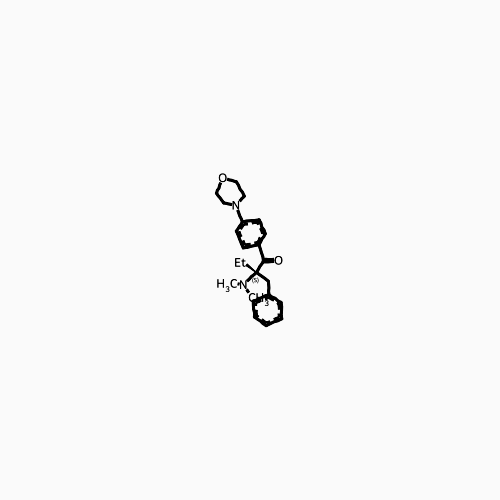 CC[C@](Cc1ccccc1)(C(=O)c1ccc(N2CCOCC2)cc1)N(C)C